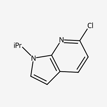 CC(C)n1ccc2ccc(Cl)nc21